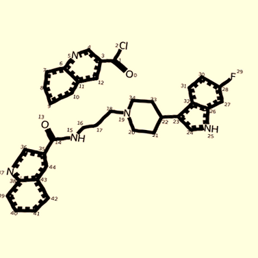 O=C(Cl)c1cnc2ccccc2c1.O=C(NCCCN1CCC(c2c[nH]c3cc(F)ccc23)CC1)c1cnc2ccccc2c1